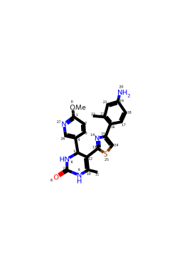 COc1ccc(C2NC(=O)NC(C)=C2c2nc(-c3ccc(N)cc3C)cs2)cn1